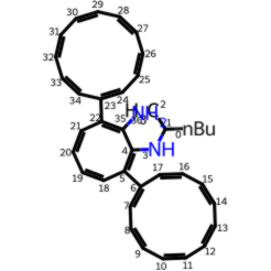 CCCCC(C)NC1=C(C2=C\C=C/C=C\C=C/C=C\C=C/2)/C=C\C=C/C(C2=C/C=C\C=C/C=C\C=C/C=C\2)=C\1N